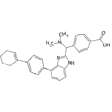 CN(C)C(c1ccc(C(=O)O)cc1)c1nc2c(-c3ccc(C4=CCCCC4)cc3)cccc2[nH]1